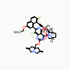 C=C1CN2CC(=C)CC2(COc2nc3c4c(nc(-c5cc(OCOC)cc6ccc(F)c(C#C[Si](C(C)C)(C(C)C)C(C)C)c56)c(F)c4n2)OC[C@@H]2[C@@H]4CC[C@H](CN32)N4C(=O)OC(C)(C)C)C1